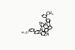 Cc1cccc(-c2ccc3c4ccccc4n(-c4cncc(-n5c6ccccc6c6ccc(-c7cccc(C)c7)cc65)c4-c4cccc(C#N)c4)c3c2)c1